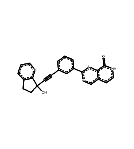 O=c1[nH]ccc2cnc(-c3cccc(C#CC4(O)CCc5cccnc54)c3)nc12